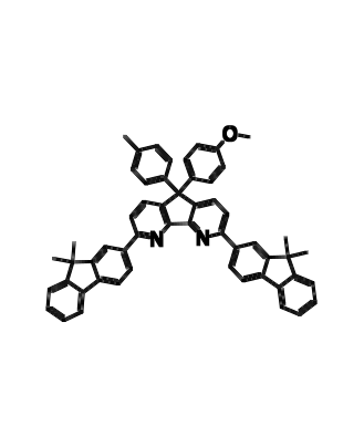 COc1ccc(C2(c3ccc(C)cc3)c3ccc(-c4ccc5c(c4)C(C)(C)c4ccccc4-5)nc3-c3nc(-c4ccc5c(c4)C(C)(C)c4ccccc4-5)ccc32)cc1